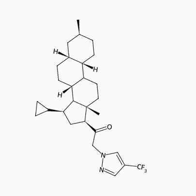 C[C@H]1CC[C@@H]2C3CC[C@@]4(C)C([C@@H]3CC[C@@H]2C1)[C@H](C1CC1)C[C@@H]4C(=O)Cn1cc(C(F)(F)F)cn1